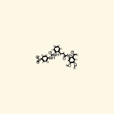 COc1cc(NC(=O)CCc2ccccc2NC(=O)Nc2ccc([N+](=O)[O-])cc2)c(C(C)=O)cc1OC